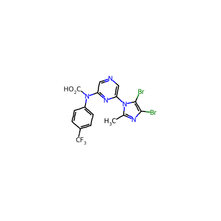 Cc1nc(Br)c(Br)n1-c1cncc(N(C(=O)O)c2ccc(C(F)(F)F)cc2)n1